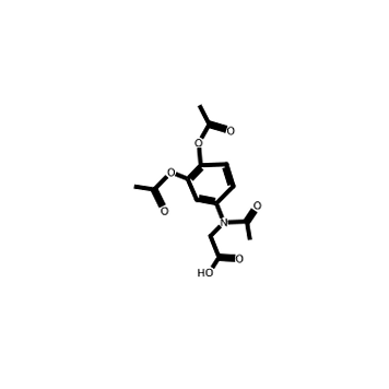 CC(=O)Oc1ccc(N(CC(=O)O)C(C)=O)cc1OC(C)=O